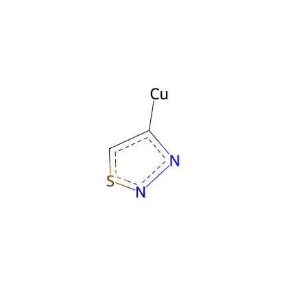 [Cu][c]1csnn1